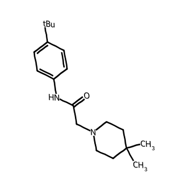 CC1(C)CCN(CC(=O)Nc2ccc(C(C)(C)C)cc2)CC1